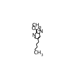 CCCCCc1cnc2c(OC)snc2c1